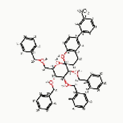 O=[N+]([O-])c1cccc(-c2ccc3c(c2)CC[C@]2(O3)O[C@H](COCc3ccccc3)[C@@H](OCc3ccccc3)[C@H](OCc3ccccc3)[C@@H]2OCc2ccccc2)c1